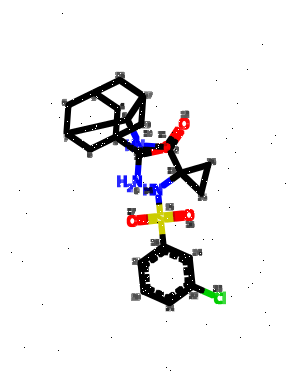 NC(=O)C12CC3CC(C1)C(NC(=O)C1(NS(=O)(=O)c4cccc(Cl)c4)CC1)C(C3)C2